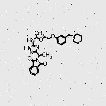 CC(Nc1nc(C(C)N2C(=O)c3ccccc3C2=O)n[nH]1)OCCOc1cccc(CN2CCCCC2)c1